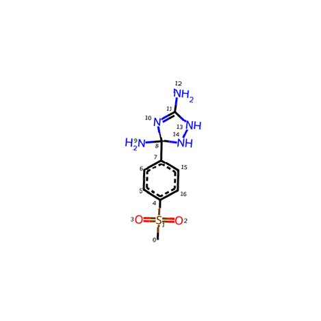 CS(=O)(=O)c1ccc(C2(N)N=C(N)NN2)cc1